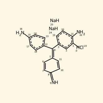 Cc1cc(C(=C2C=CC(=N)C=C2)c2ccc(N)cc2)ccc1N.Cl.[NaH].[NaH]